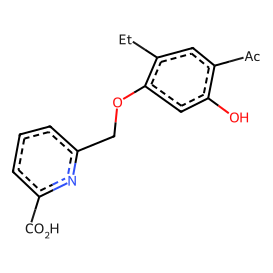 CCc1cc(C(C)=O)c(O)cc1OCc1cccc(C(=O)O)n1